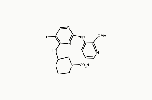 COc1ncccc1Nc1ncc(F)c(NC2CCCN(C(=O)O)C2)n1